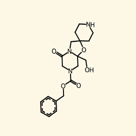 O=C(OCc1ccccc1)N1CC(=O)N2CC3(CCNCC3)OC2(CO)C1